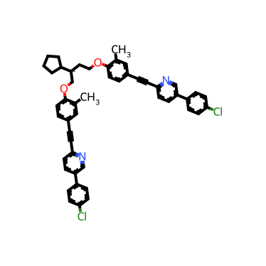 Cc1cc(C#Cc2ccc(-c3ccc(Cl)cc3)cn2)ccc1OCC[C](COc1ccc(C#Cc2ccc(-c3ccc(Cl)cc3)cn2)cc1C)C1CCCC1